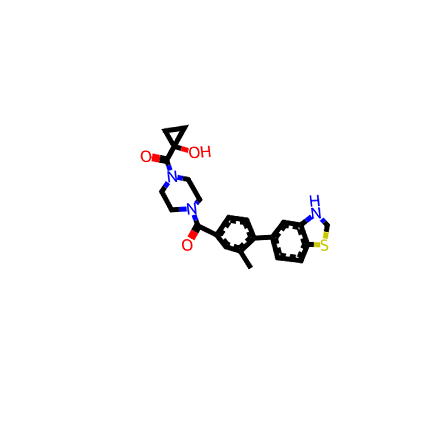 Cc1cc(C(=O)N2CCN(C(=O)C3(O)CC3)CC2)ccc1-c1ccc2c(c1)NCS2